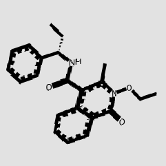 CCOn1c(C)c(C(=O)N[C@@H](CC)c2ccccc2)c2ccccc2c1=O